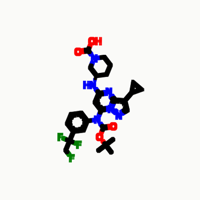 CC(C)(C)OC(=O)N(c1cccc(C(F)(F)CF)c1)c1cc(N[C@H]2CCCN(C(=O)O)C2)nc2c(C3CC3)cnn12